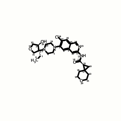 CC[C@]1(N2CCN(c3cc4cc(NC(=O)[C@H]5CC56CCOCC6)ncc4cc3Cl)CC2)COC[C@H]1O